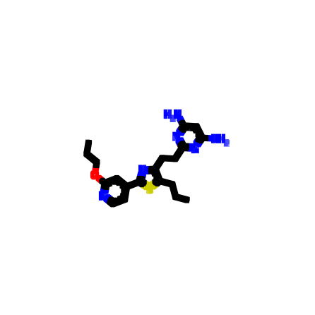 CCCOc1cc(-c2nc(CCc3nc(N)cc(N)n3)c(CCC)s2)ccn1